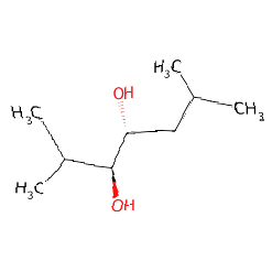 CC(C)C[C@@H](O)[C@@H](O)C(C)C